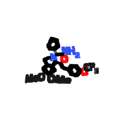 COc1cc2c(cc1OC)[C@H](CCc1ccc(OC(F)(F)F)cc1)N([C@@H](C(N)=O)c1ccccc1)CC2